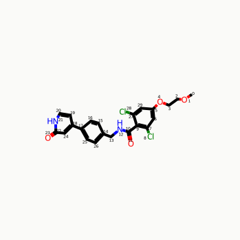 COCCOc1cc(Cl)c(C(=O)NCc2ccc(-c3cc[nH]c(=O)c3)cc2)c(Cl)c1